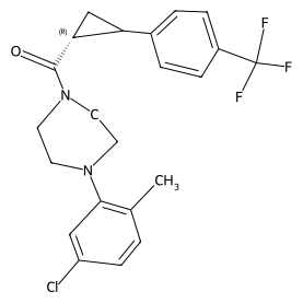 Cc1ccc(Cl)cc1N1CCN(C(=O)[C@@H]2CC2c2ccc(C(F)(F)F)cc2)CC1